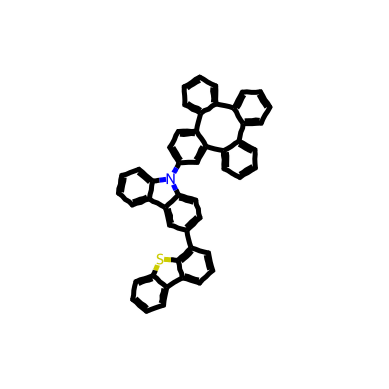 c1ccc2c(c1)-c1ccccc1-c1ccc(-n3c4ccccc4c4cc(-c5cccc6c5sc5ccccc56)ccc43)cc1-c1ccccc1-2